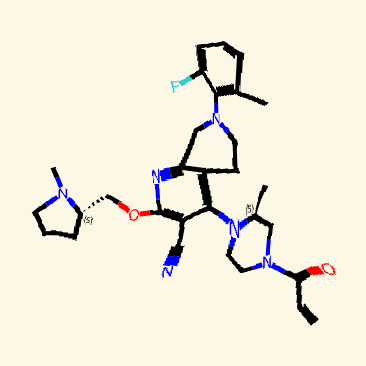 C=CC(=O)N1CCN(c2c(C#N)c(OC[C@@H]3CCCN3C)nc3c2CCN(c2c(C)cccc2F)C3)[C@@H](C)C1